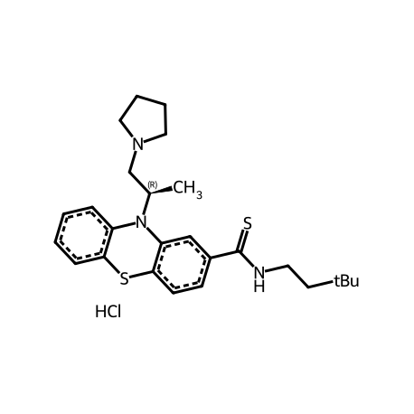 C[C@H](CN1CCCC1)N1c2ccccc2Sc2ccc(C(=S)NCCC(C)(C)C)cc21.Cl